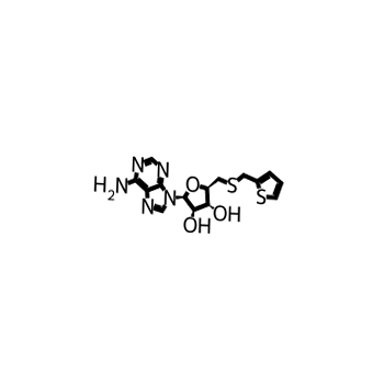 Nc1ncnc2c1ncn2[C@H]1O[C@@H](CSCc2cccs2)[C@H](O)[C@H]1O